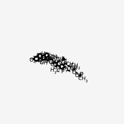 COc1c(N2CCN(C(=O)OCOC(C)=O)C(C)C2)c(F)c(C)c2c(=O)c(C(=O)OC(C)(C)C(=O)[C@@]3(O)CC[C@H]4[C@@H]5CCC6=CC(=O)C=C[C@]6(C)[C@H]5[C@@H](O)C[C@@]43C)c(C)n(C3CC3)c12